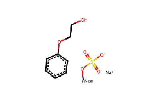 CCCCCCCCCOS(=O)(=O)[O-].OCCOc1ccccc1.[Na+]